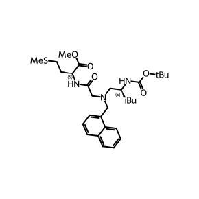 CCC(C)[C@@H](CN(CC(=O)N[C@@H](CCSC)C(=O)OC)Cc1cccc2ccccc12)NC(=O)OC(C)(C)C